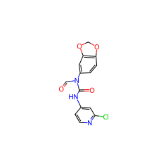 O=CN(C(=O)Nc1ccnc(Cl)c1)c1ccc2c(c1)OCO2